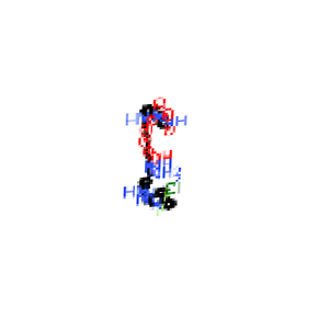 CN(Cc1c(C=O)cccc1NC(=O)COCCOCCOCC(O)CN(N)/C=C(\N)c1ccc(Nc2ncc3c(n2)-c2ccc(Cl)cc2C(c2c(F)cccc2F)=NC3)cc1)C1CCC(=O)NC1=O